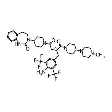 CN1CCN(C2CCN(C(=O)[C@H](CC(=O)N3CCC(N4CCc5ccccc5NC4=O)CC3)Cc3cc(C(F)(F)F)c(N)c(C(F)(F)F)c3)CC2)CC1